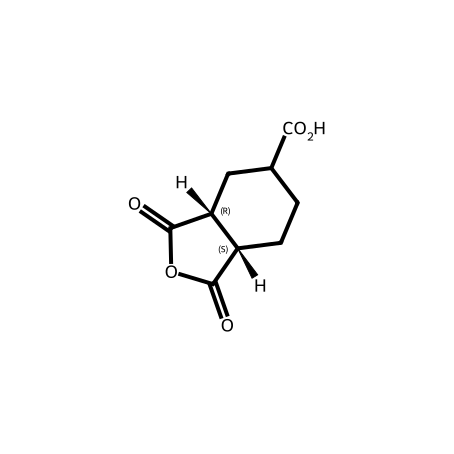 O=C(O)C1CC[C@@H]2C(=O)OC(=O)[C@@H]2C1